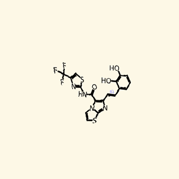 O=C(Nc1nc(C(F)(F)F)cs1)c1c(/C=C/c2cccc(O)c2O)nc2sccn12